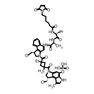 CCC1(C(=O)N2C[C@@H](CCl)c3c2cc(NC(=O)[C@H](C)NC(=O)[C@@H](NC(=O)CCCCCN2C(=O)C=CC2=O)C(C)C)c2ccccc32)CC(C)(C(=O)N2C[C@@H](CCl)c3c2cc(OP(=O)(O)O)c2[nH]cc(C)c32)C1